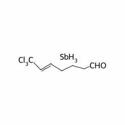 O=CCCCC=CC(Cl)(Cl)Cl.[SbH3]